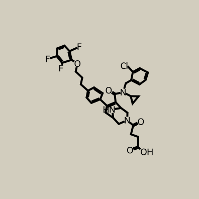 O=C(O)CCC(=O)N1CC2CC(c3ccc(CCCOc4c(F)ccc(F)c4F)cc3)=C(C(=O)N(Cc3ccccc3Cl)C3CC3)C(C1)N2